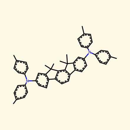 Cc1ccc(N(c2ccc(C)cc2)c2ccc3c(c2)C(C)(C)c2c-3ccc3c2C(C)(C)c2cc(N(c4ccc(C)cc4)c4ccc(C)cc4)ccc2-3)cc1